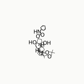 CC(C1OCC(C)(C)CO1)[C@H]1CC[C@H]2[C@@H]3C=CC4(O)CC(OC(=O)Nc5ccccc5)CC(O)[C@]4(C)[C@H]3CC[C@]12C